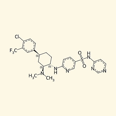 CN(C)[C@H]1C[C@@H](c2ccc(Cl)c(C(F)(F)F)c2)CC[C@@H]1Nc1ccc(S(=O)(=O)Nc2ccncn2)cn1